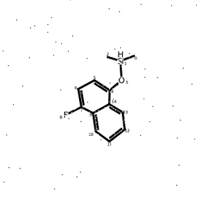 C[SiH](C)Oc1ccc(F)c2ccccc12